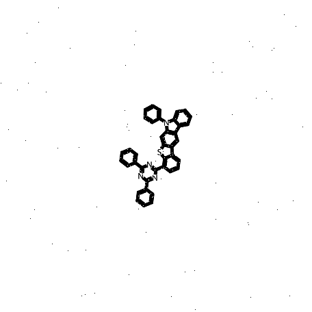 c1ccc(-c2nc(-c3ccccc3)nc(-c3cccc4c3sc3cc5c(cc34)c3ccccc3n5-c3ccccc3)n2)cc1